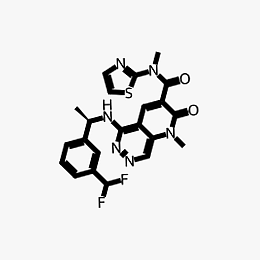 C[C@@H](Nc1nncc2c1cc(C(=O)N(C)c1nccs1)c(=O)n2C)c1cccc(C(F)F)c1